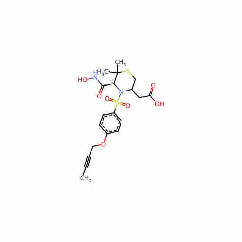 CC#CCOc1ccc(S(=O)(=O)N2C(CC(=O)O)CSC(C)(C)[C@@H]2C(=O)NO)cc1